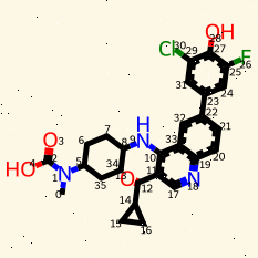 CN(C(=O)O)C1CCC(Nc2c(C(=O)C3CC3)cnc3ccc(-c4cc(F)c(O)c(Cl)c4)cc23)CC1